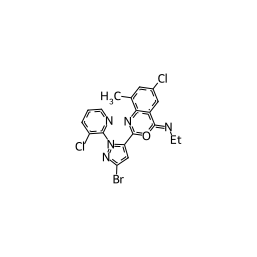 CC/N=c1\oc(-c2cc(Br)nn2-c2ncccc2Cl)nc2c(C)cc(Cl)cc12